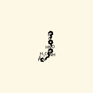 CC1=C(CCCN2CCC(F)(F)C2)NC2C=CC(NC(=O)c3ccc(OCc4ccccn4)cc3)=CN12